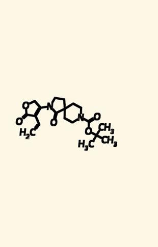 C=CC1=C(N2CCC3(CCN(C(=O)OC(C)(C)C)CC3)C2=O)COC1=O